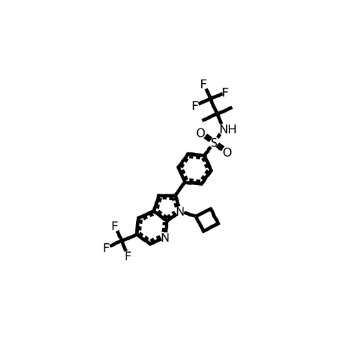 CC(C)(NS(=O)(=O)c1ccc(-c2cc3cc(C(F)(F)F)cnc3n2C2CCC2)cc1)C(F)(F)F